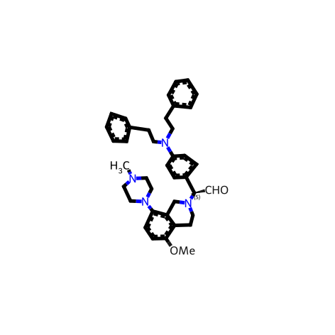 COc1ccc(N2CCN(C)CC2)c2c1CCN([C@H](C=O)c1ccc(N(CCc3ccccc3)CCc3ccccc3)cc1)C2